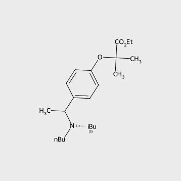 CCCCN(C(C)c1ccc(OC(C)(C)C(=O)OCC)cc1)[C@@H](C)CC